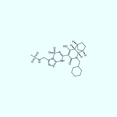 CS(=O)(=O)NCc1csc2c1S(=O)(=O)N=C(C1=C(O)[C@@H]3[C@@H]4CC[C@@H](C4)[C@@H]3N(CC3CCCCC3)C1=O)N2